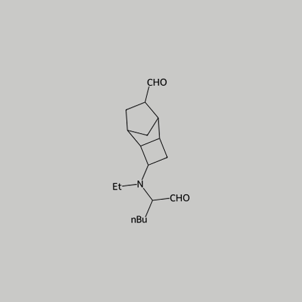 CCCCC(C=O)N(CC)C1CC2C3CC(CC3C=O)C21